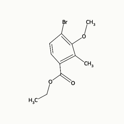 CCOC(=O)c1ccc(Br)c(OC)c1C